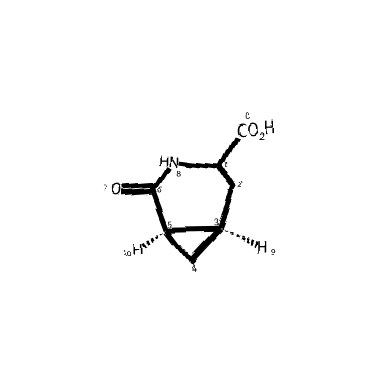 O=C(O)C1C[C@H]2C[C@H]2C(=O)N1